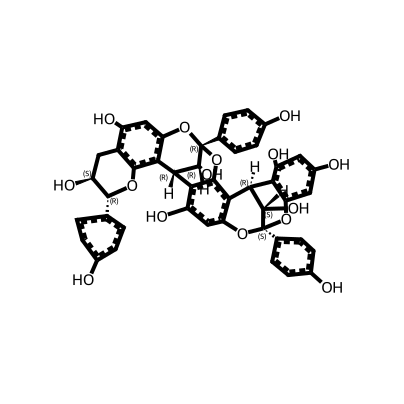 Oc1ccc([C@H]2Oc3c(c(O)cc4c3[C@H]3c5c(O)cc6c(c5O[C@@](c5ccc(O)cc5)(O4)[C@@H]3O)[C@H]3c4c(O)cc(O)cc4O[C@@](c4ccc(O)cc4)(O6)[C@H]3O)C[C@@H]2O)cc1